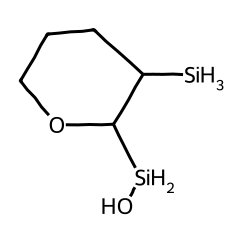 O[SiH2]C1OCCCC1[SiH3]